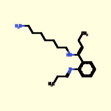 CC/C=C(\NCCCCCCCN)c1ccccc1/N=C/CC